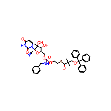 CC(C)(COC(c1ccccc1)(c1ccccc1)c1ccccc1)C(=O)SCCOP(=O)(NCc1ccccc1)OC[C@H]1O[C@@](C#N)(n2ccc(=O)[nH]c2=O)[C@](C)(O)[C@@H]1O